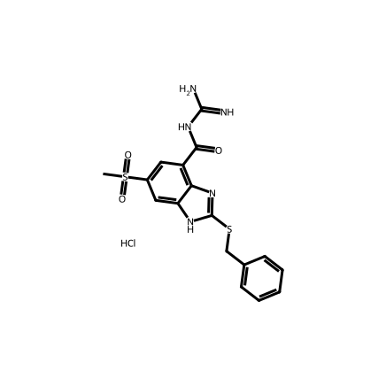 CS(=O)(=O)c1cc(C(=O)NC(=N)N)c2nc(SCc3ccccc3)[nH]c2c1.Cl